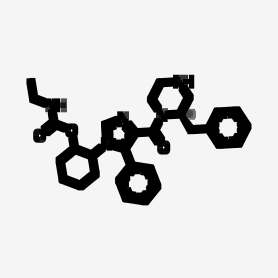 CCNC(=O)OC1CCCCC1n1cnc(C(=O)N2CCNC[C@H]2Cc2ccccc2)c1-c1ccccc1